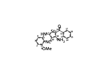 COc1cccc(Nc2sc(C(=O)c3ccccc3)c(N)c2C#N)c1